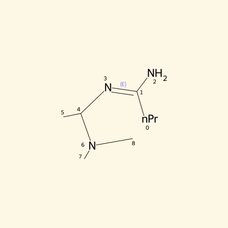 CCC/C(N)=N\C(C)N(C)C